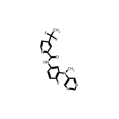 CN(c1cncnc1)c1cc(NC(=O)c2cc(C(C)(F)F)ccn2)ccc1F